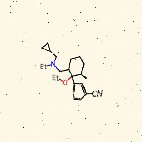 CCOC1(c2cccc(C#N)c2)C(C)CCCC1CN(CC)CC1CC1